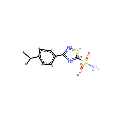 CC(C)c1ccc(-c2nsc(S(N)(=O)=O)n2)cc1